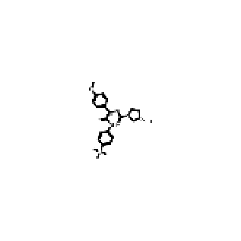 COc1ccc([C@@H](NC(=O)N2CC[C@H](O)C2)C(=O)Nc2ccc([Si](C)(C)C)cc2)cc1